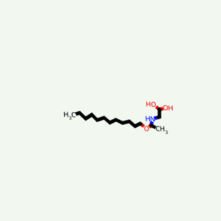 CCCCCCCCCCCCOC(C)NCC(O)O